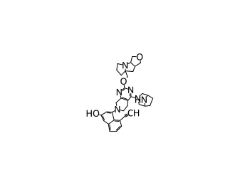 C#Cc1cccc2cc(O)cc(N3CCc4c(nc(OCC56CCCN5C5COCC5C6)nc4N4CC5CCC(C4)N5)C3)c12